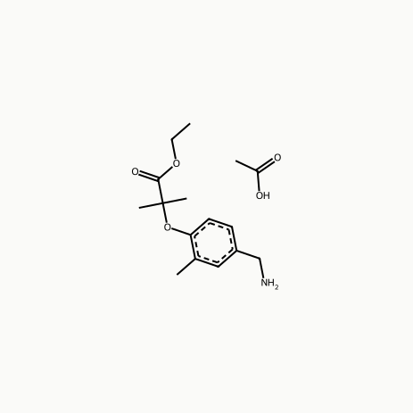 CC(=O)O.CCOC(=O)C(C)(C)Oc1ccc(CN)cc1C